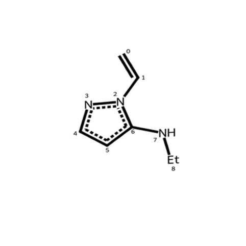 C=Cn1nccc1NCC